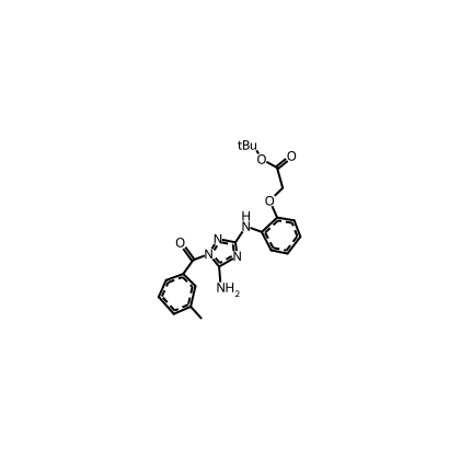 Cc1cccc(C(=O)n2nc(Nc3ccccc3OCC(=O)OC(C)(C)C)nc2N)c1